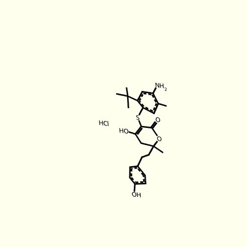 Cc1cc(SC2=C(O)CC(C)(CCc3ccc(O)cc3)OC2=O)c(C(C)(C)C)cc1N.Cl